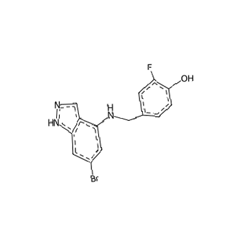 Oc1ccc(CNc2cc(Br)cc3[nH]ncc23)cc1F